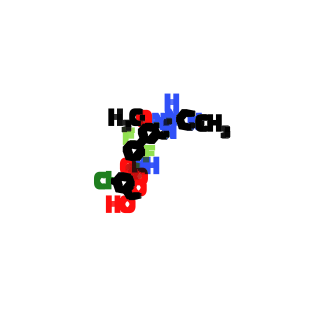 COc1cc(-c2c(F)ccc(NS(=O)(=O)c3cc(Cl)cc4c3OCC4O)c2F)cc2cnc(NC3CCN(C)CC3)nc12